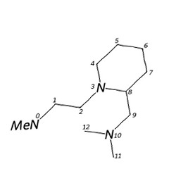 CNCCN1CCCCC1CN(C)C